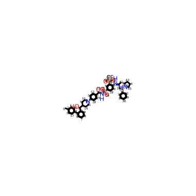 Cc1ccc(-c2ccccc2[C@H](O)C2CCN(c3ccc(C(=O)NS(=O)(=O)c4ccc(N[C@@H](CSc5ccccc5)C[C@@H]5CCCN5)c(S(=O)(=O)C(F)(F)F)c4)cc3)CC2)cc1